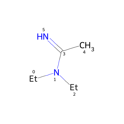 CCN(CC)C(C)=N